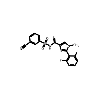 Cn1cc(C(=O)NS(=O)(=O)c2cccc(C#N)c2)nc1-c1c(F)cccc1F